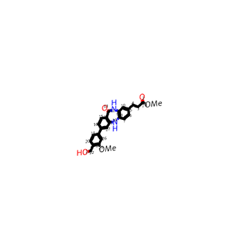 COC(=O)CCc1ccc2c(c1)NC(=O)c1ccc(-c3ccc(CO)c(OC)c3)cc1N2